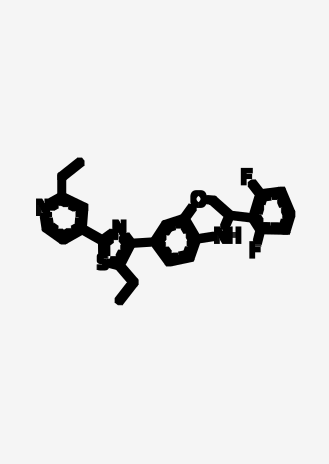 CCc1cc(-c2nc(-c3ccc4c(c3)OCC(c3c(F)cccc3F)N4)c(CC)s2)ccn1